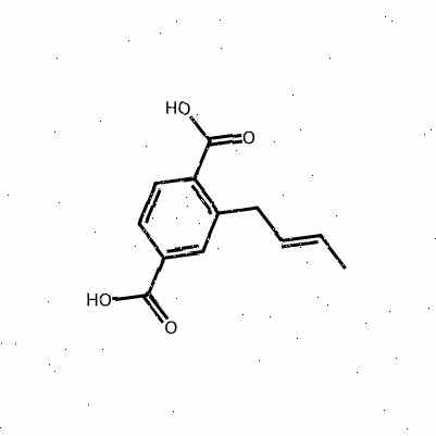 CC=CCc1cc(C(=O)O)ccc1C(=O)O